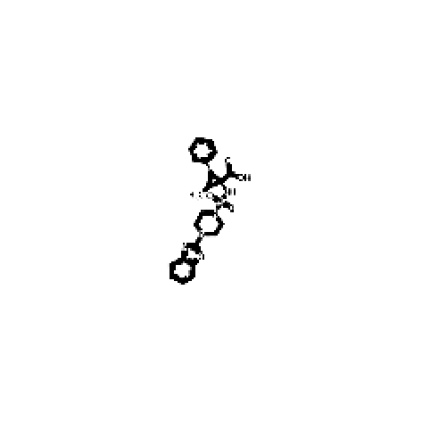 CC1[C@H](c2ccccc2)[C@]1(NS(=O)(=O)N1CCN(c2nc3ccccc3o2)CC1)C(=O)O